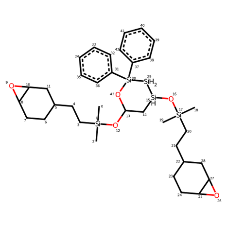 C[Si](C)(CCC1CCC2OC2C1)OC1C[SiH](O[Si](C)(C)CCC2CCC3OC3C2)[SiH2][Si](c2ccccc2)(c2ccccc2)O1